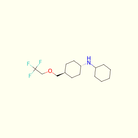 FC(F)(F)COC[C@H]1CC[C@H](NC2CCCCC2)CC1